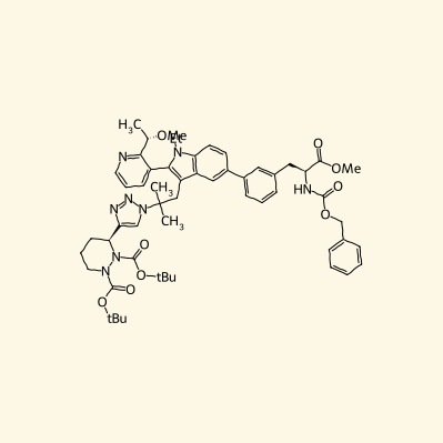 CCn1c(-c2cccnc2[C@H](C)OC)c(CC(C)(C)n2cc([C@@H]3CCCN(C(=O)OC(C)(C)C)N3C(=O)OC(C)(C)C)nn2)c2cc(-c3cccc(C[C@H](NC(=O)OCc4ccccc4)C(=O)OC)c3)ccc21